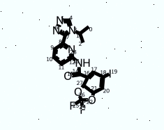 CC(C)n1cnnc1-c1cccc(NC(=O)C2=CC(I)=CC3OC(F)(F)OC23)n1